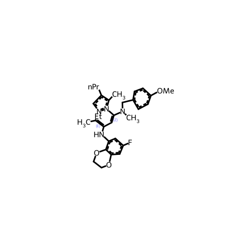 CCCc1cnn(/C(=C\C(Nc2cc(F)cc3c2OCCO3)=C(\C)CC)N(C)Cc2ccc(OC)cc2)c1C